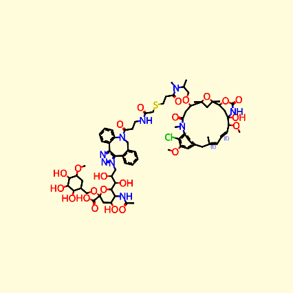 COc1cc2cc(c1Cl)N(C)C(=O)CC(OCC(C)N(C)C(=O)CCSCC(=O)NCCC(=O)N1Cc3ccccc3-c3c(nnn3CC(O)C(O)C3OC(OCC4CC(OC)C(O)C(O)C4O)(C(=O)O)CC(O)C3NC(C)=O)-c3ccccc31)C1(C)CC(C)(O1)C1CC(O)(NC(=O)O1)C(OC)/C=C/C=C(\C)C2